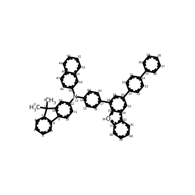 CC1(C)c2ccccc2-c2ccc(N(c3ccc(-c4cc(-c5ccc(-c6ccccc6)cc5)cc5c4oc4ccccc45)cc3)c3ccc4ccccc4c3)cc21